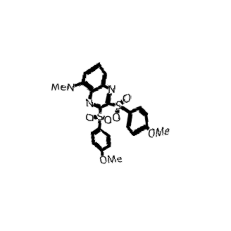 CNc1cccc2nc(S(=O)(=O)c3ccc(OC)cc3)c(S(=O)(=O)c3ccc(OC)cc3)nc12